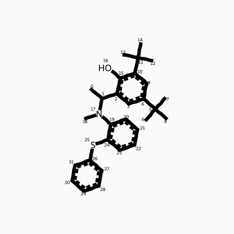 CC(c1cc(C(C)(C)C)cc(C(C)(C)C)c1O)N(C)c1ccccc1Sc1ccccc1